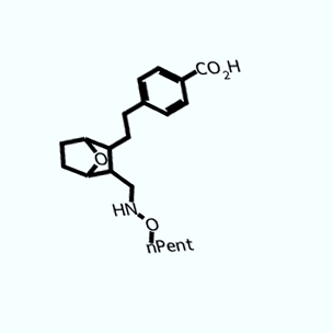 CCCCCONCC1C2CCC(O2)C1CCc1ccc(C(=O)O)cc1